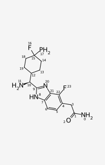 NC(=O)Cc1ccc2[nH]c([C@@H](N)C3CCC(F)(P)CC3)nc2c1F